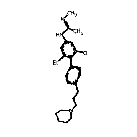 CCc1cc(N/C(C)=N/C)cc(Cl)c1-c1ccc(CCCN2CCCCC2)cc1